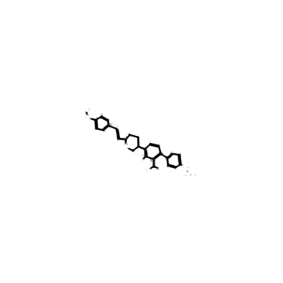 CCCCOc1ccc(-c2ccc(C3CCC(/C=C/c4ccc(OCC)cc4)OC3)c(F)c2C(F)F)cc1